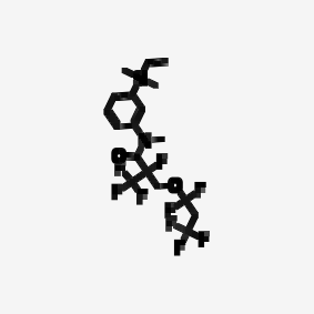 C=C[Si](C)(C)c1cccc(N(C)C(=O)C(F)(COC(F)(F)CC(F)(F)F)C(F)(F)F)c1